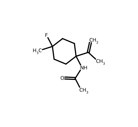 C=C(C)C1(NC(C)=O)CCC(C)(F)CC1